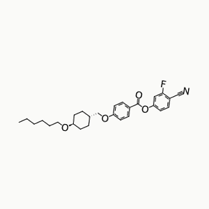 CCCCCCO[C@H]1CC[C@H](COc2ccc(C(=O)Oc3ccc(C#N)c(F)c3)cc2)CC1